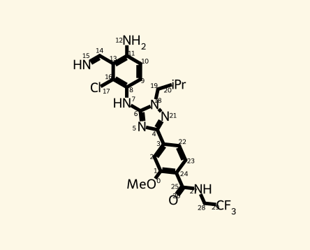 COc1cc(-c2nc(Nc3ccc(N)c(C=N)c3Cl)n(CC(C)C)n2)ccc1C(=O)NCC(F)(F)F